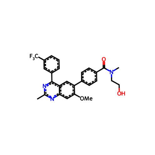 COc1cc2nc(C)nc(-c3cccc(C(F)(F)F)c3)c2cc1-c1ccc(C(=O)N(C)CCO)cc1